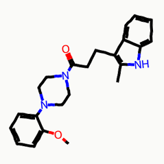 COc1ccccc1N1CCN(C(=O)CCc2c(C)[nH]c3ccccc23)CC1